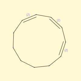 C1=C\C=C/CCCCC\C=C/1